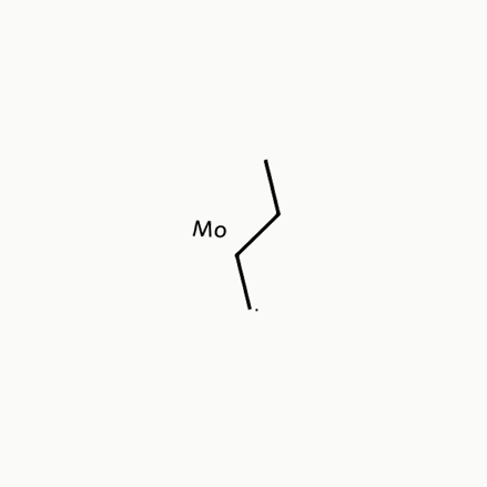 [CH2]CCC.[Mo]